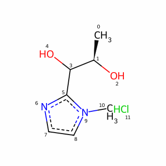 C[C@@H](O)C(O)c1nccn1C.Cl